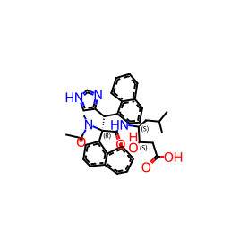 CC(=O)N(C)[C@@](C(=O)N[C@@H](CC(C)C)[C@@H](O)CC(=O)O)(c1cccc2ccccc12)C(c1c[nH]cn1)c1cccc2ccccc12